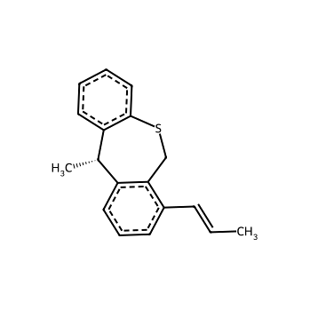 C/C=C/c1cccc2c1CSc1ccccc1[C@H]2C